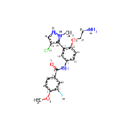 COc1ccc(C(=O)Nc2ccc(OCCN)c(-c3c(Cl)cnn3C)c2)cc1F